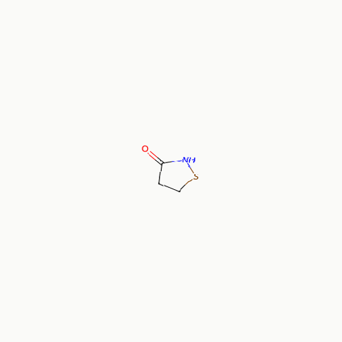 O=C1CCSN1